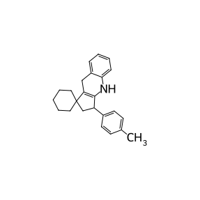 Cc1ccc(C2CC3(CCCCC3)C3=C2Nc2ccccc2C3)cc1